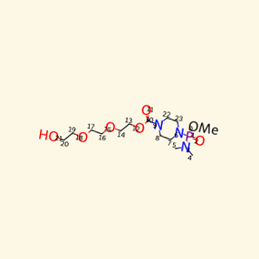 COP(=O)(N(C)C)N1CCN(C(=O)OCCOCCOCCO)CC1